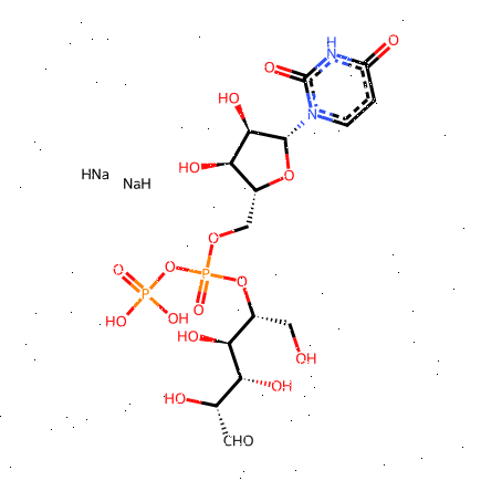 O=C[C@H](O)[C@@H](O)[C@@H](O)[C@@H](CO)OP(=O)(OC[C@H]1O[C@@H](n2ccc(=O)[nH]c2=O)[C@H](O)[C@@H]1O)OP(=O)(O)O.[NaH].[NaH]